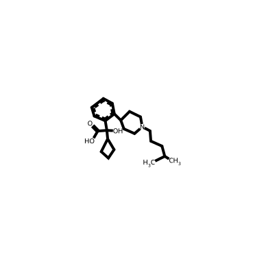 CC(C)CCCN1CCC(c2ccccc2C(O)(C(=O)O)C2CCC2)CC1